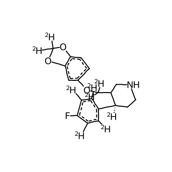 [2H]c1c([2H])c([C@]2([2H])CCNCC2C([2H])([2H])Oc2ccc3c(c2)OC([2H])([2H])O3)c([2H])c([2H])c1F